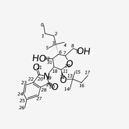 CCCC(C)(C)[C@@H]1C(CO)O[C@@H](OC(C)(C)CC)C(N2C(=O)c3ccc(C)cc3C2=O)C1O